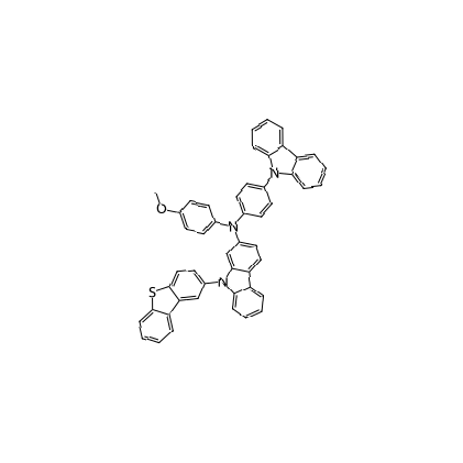 COc1ccc(N(c2ccc(-n3c4ccccc4c4ccccc43)cc2)c2ccc3c4ccccc4n(-c4ccc5sc6ccccc6c5c4)c3c2)cc1